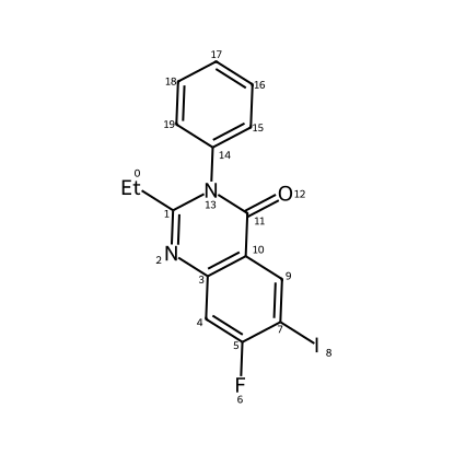 CCc1nc2cc(F)c(I)cc2c(=O)n1-c1ccccc1